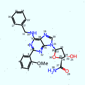 COc1ccccc1-c1nc(NCc2ccccc2)c2ncn([C@H]3C[C@H](O)[C@@H](C(N)=O)O3)c2n1